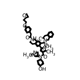 Cc1c(C(=O)N(c2ccc(O)cc2)c2cnn(C)c2)cc(-c2cc3c(cc2C(=O)N2Cc4ccccc4C[C@H]2C)CN(C(=O)Cc2ccc(OCCC4CCO4)cc2)CC3)n1C